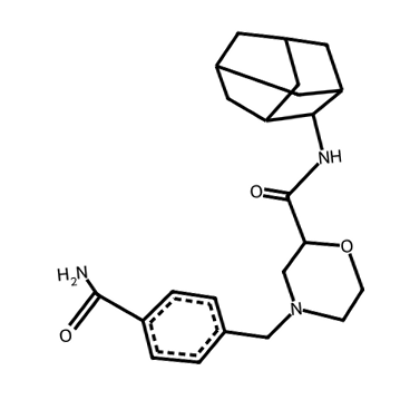 NC(=O)c1ccc(CN2CCOC(C(=O)NC3C4CC5CC(C4)CC3C5)C2)cc1